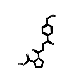 CCCCOc1ccc(C(=O)CCC(=O)N2CCCC2C(=O)C(=O)OCC)cc1